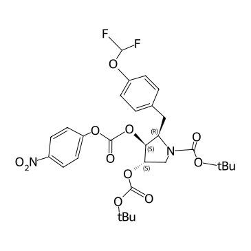 CC(C)(C)OC(=O)O[C@H]1CN(C(=O)OC(C)(C)C)[C@H](Cc2ccc(OC(F)F)cc2)[C@@H]1OC(=O)Oc1ccc([N+](=O)[O-])cc1